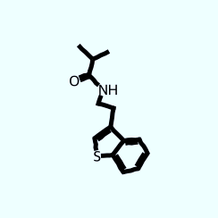 CC(C)C(=O)NCCc1csc2ccccc12